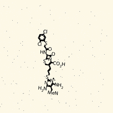 CNCc1c(N)nc(SCC=CC2=C(C(=O)O)N3C(=O)C(NC(=O)CSc4cc(Cl)ccc4Cl)C3SC2)[n+](C)c1N